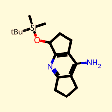 CC(C)(C)[Si](C)(C)OC1CCc2c1nc1c(c2N)CCC1